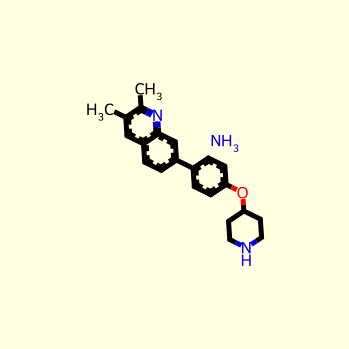 Cc1cc2ccc(-c3ccc(OC4CCNCC4)cc3)cc2nc1C.N